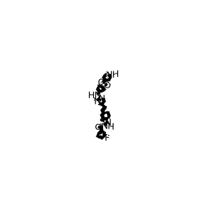 O=C(Nc1nc2ccc(/C=C/c3cnc(Nc4ccc(S(=O)(=O)C5CCNCC5)cc4)nc3)cc2s1)c1cccc(F)c1